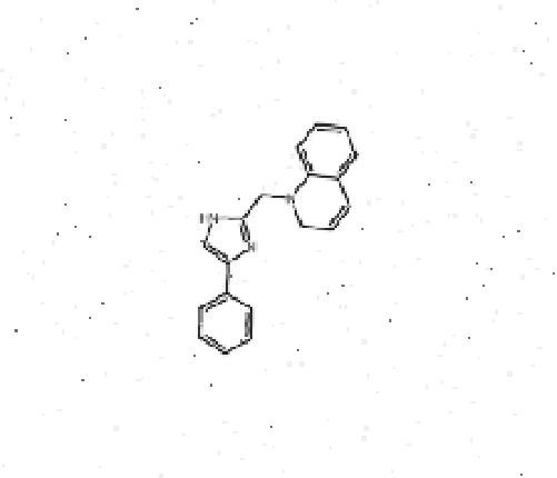 C1=Cc2ccccc2N(Cc2nc(-c3ccccc3)c[nH]2)C1